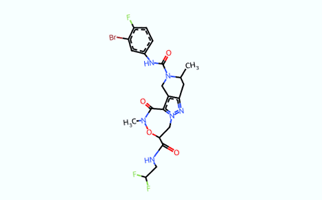 CC1Cc2nn3c(c2CN1C(=O)Nc1ccc(F)c(Br)c1)C(=O)N(C)OC(C(=O)NCC(F)F)C3